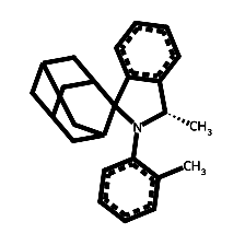 Cc1ccccc1N1[C@@H](C)c2ccccc2C12C1CC3CC(C1)CC2C3